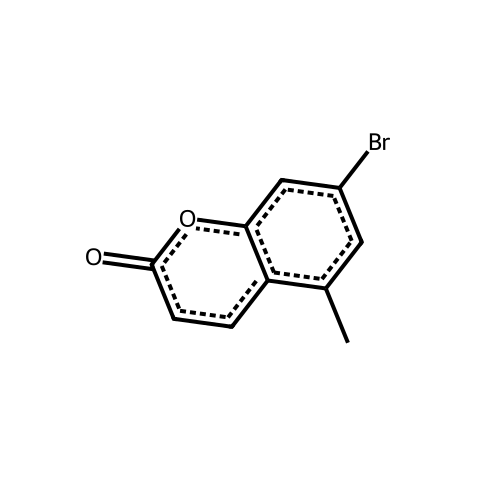 Cc1cc(Br)cc2oc(=O)ccc12